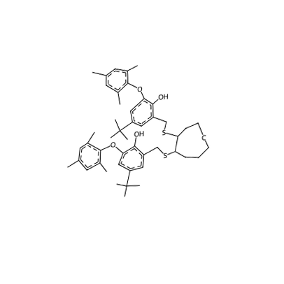 Cc1cc(C)c(Oc2cc(C(C)(C)C)cc(CSC3CCCCCCC3SCc3cc(C(C)(C)C)cc(Oc4c(C)cc(C)cc4C)c3O)c2O)c(C)c1